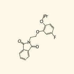 CC(C)Oc1ccc(F)cc1OCCN1C(=O)c2ccccc2C1=O